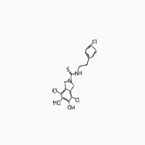 Oc1c(O)c(Cl)c2c(c1Cl)CN(C(=S)NCCc1ccc(Cl)cc1)C2